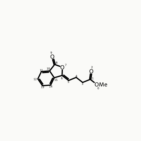 COC(=O)CCC=C1OC(=O)c2ccccc21